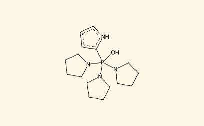 OP(c1ccc[nH]1)(N1CCCC1)(N1CCCC1)N1CCCC1